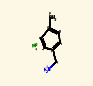 F.NCc1ccc([SiH3])cc1